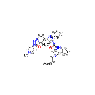 CCN1CCC(NC(=O)c2cc(-c3nn(-c4ccccc4)c(NC(=O)N[C@@H]4CN(CCOC)C[C@H]4c4ccccc4)c3C)ccn2)CC1